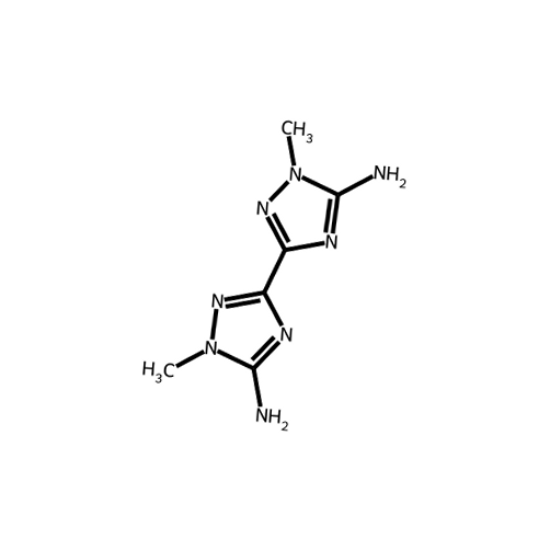 Cn1nc(-c2nc(N)n(C)n2)nc1N